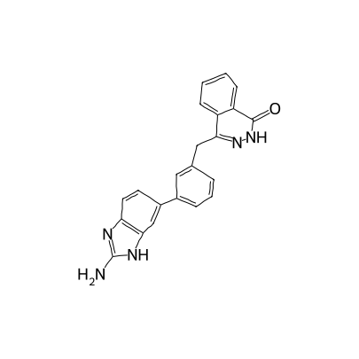 Nc1nc2ccc(-c3cccc(Cc4n[nH]c(=O)c5ccccc45)c3)cc2[nH]1